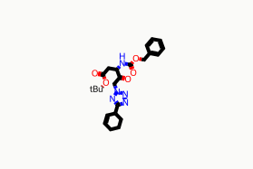 CC(C)(C)OC(=O)CC(NC(=O)OCc1ccccc1)C(=O)Cn1nnc(C2C=CCCC2)n1